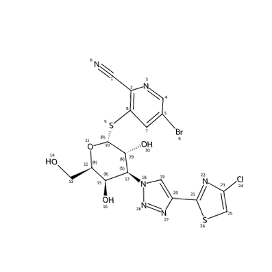 N#Cc1ncc(Br)cc1S[C@H]1O[C@H](CO)[C@H](O)[C@H](n2cc(-c3nc(Cl)cs3)nn2)[C@H]1O